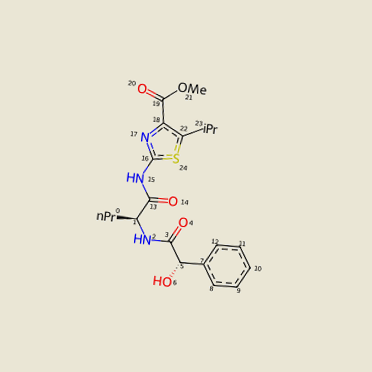 CCC[C@H](NC(=O)[C@@H](O)c1ccccc1)C(=O)Nc1nc(C(=O)OC)c(C(C)C)s1